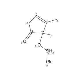 CC1=CCC(=O)C1(C)O[SiH2]C(C)(C)C